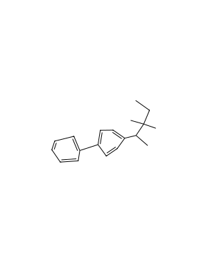 CCC(C)(C)C(C)c1ccc(-c2ccccc2)cc1